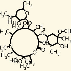 CCC1OC(=O)C(C)[C@H](OC2C[C@](C)(OC)[C@@H](O)[C@H](C)O2)C(C)C(O[C@@H]2OC(C)CC(NC)C2O)[C@](C)(O)CC(C)CN(C)[C@H](C)[C@@H](O)[C@@]1(C)O